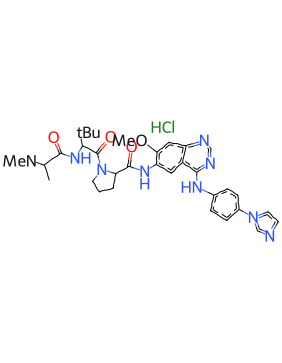 CNC(C)C(=O)NC(C(=O)N1CCCC1C(=O)Nc1cc2c(Nc3ccc(-n4ccnc4)cc3)ncnc2cc1OC)C(C)(C)C.Cl